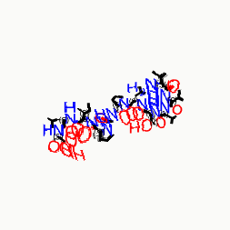 CC[C@H](C)[C@H](NC(=O)[C@@H]1CCCN1C(=O)CNC(=O)[C@@H]1CCCN1C(=O)[C@H](CC(C)C)NC(=O)[C@@H](NC(=O)[C@@H](NC(=O)[C@@H](NC(=O)[C@@H](N)C(C)C)C(C)C)C(C)C)[C@@H](C)O)C(=O)N[C@@H](CC(C)C)C(=O)N[C@@H](CO)C(=O)O